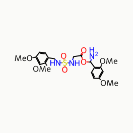 COc1ccc(CNS(=O)(=O)NCC(=O)OC(N)c2ccc(OC)cc2OC)c(OC)c1